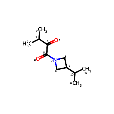 CC(C)C(=O)C(=O)N1CC(C(C)C)C1